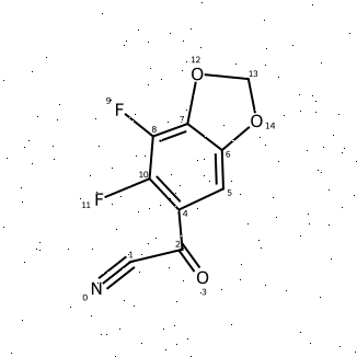 N#CC(=O)c1cc2c(c(F)c1F)OCO2